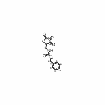 CN1C(=O)OC(CNC(=O)OCc2ccccc2)C1=O